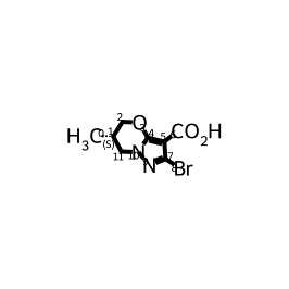 C[C@@H]1COc2c(C(=O)O)c(Br)nn2C1